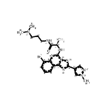 C[C@@H](Nc1nc2c(Br)cccc2c2nc(-c3cnn(C)c3)nn12)C(=O)NCCCN(C)C